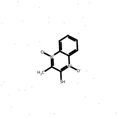 Cc1c(S)[n+]([O-])c2ccccc2[n+]1[O-]